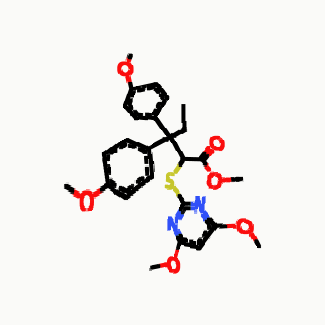 CCC(c1ccc(OC)cc1)(c1ccc(OC)cc1)C(Sc1nc(OC)cc(OC)n1)C(=O)OC